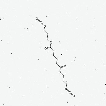 O=C=NCCCOC(=O)CCCCC(=O)OCCCN=C=O